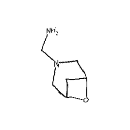 NCN1CC2CC(C1)O2